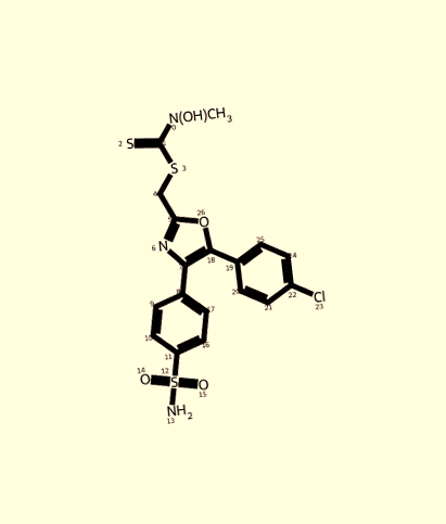 CN(O)C(=S)SCc1nc(-c2ccc(S(N)(=O)=O)cc2)c(-c2ccc(Cl)cc2)o1